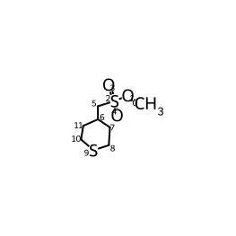 COS(=O)(=O)CC1CCSCC1